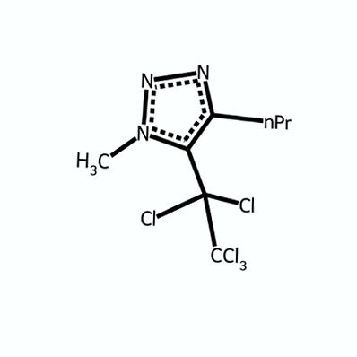 CCCc1nnn(C)c1C(Cl)(Cl)C(Cl)(Cl)Cl